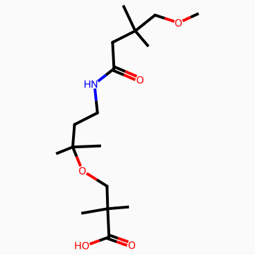 COCC(C)(C)CC(=O)NCCC(C)(C)OCC(C)(C)C(=O)O